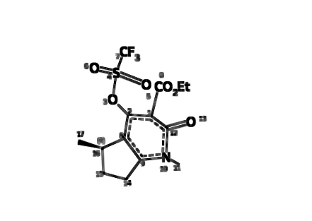 CCOC(=O)c1c(OS(=O)(=O)C(F)(F)F)c2c(n(C)c1=O)CC[C@H]2C